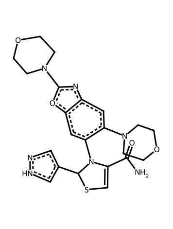 NC(=O)C1=CSC(c2cn[nH]c2)N1c1cc2oc(N3CCOCC3)nc2cc1N1CCOCC1